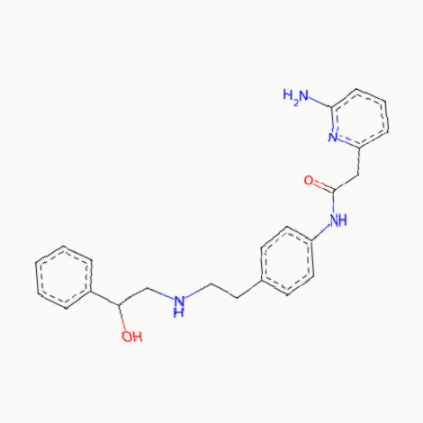 Nc1cccc(CC(=O)Nc2ccc(CCNCC(O)c3ccccc3)cc2)n1